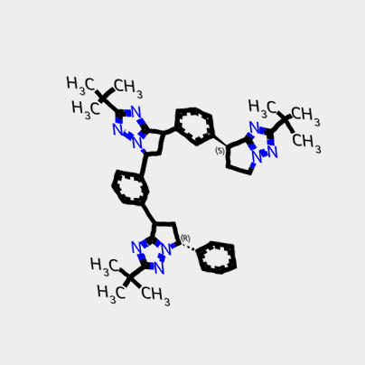 CC(C)(C)c1nc2n(n1)CC[C@H]2c1cccc(C2CC(c3cccc(C4C[C@H](c5ccccc5)n5nc(C(C)(C)C)nc54)c3)n3nc(C(C)(C)C)nc32)c1